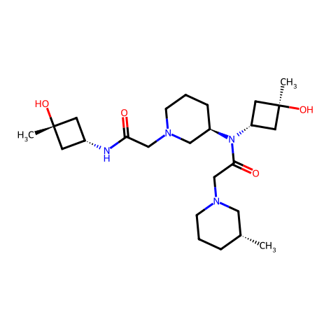 C[C@@H]1CCCN(CC(=O)N([C@@H]2CCCN(CC(=O)N[C@H]3C[C@@](C)(O)C3)C2)[C@H]2C[C@](C)(O)C2)C1